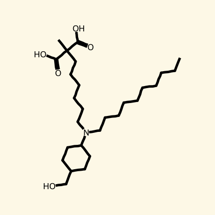 CCCCCCCCCCN(CCCCCCC(C)(C(=O)O)C(=O)O)C1CCC(CO)CC1